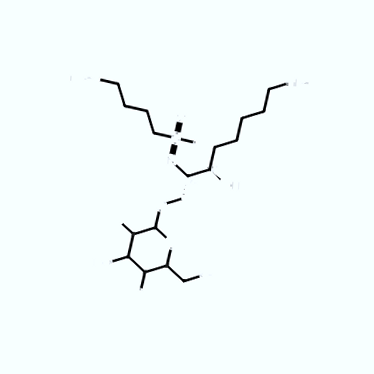 CCCCCCCCCCCCCCC[C@@H](O)[C@H](COC1OC(CO)C(O)C(O)C1O)N=S(C)(=O)CCCCCCCCCCCCCC